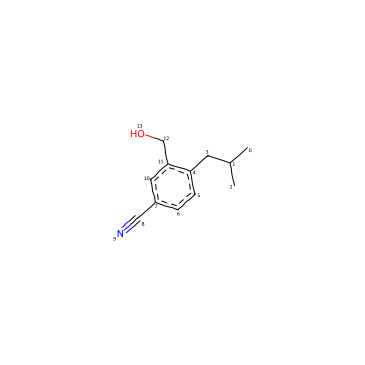 CC(C)Cc1ccc(C#N)cc1CO